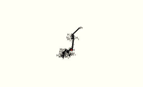 COP(OCC1OC(Nc2nc(N)[nH]c(=S)c2N)C(O)C1O)OC1C(COP(=O)(O)O[C@H](CO)COCCOCCOCCOc2c(C)c(C)c3c(c2C)CC[C@@](C)(CCCCCCCCCCCC(C)C)O3)OC(Nc2nc(N)[nH]c(=S)c2N)C1O